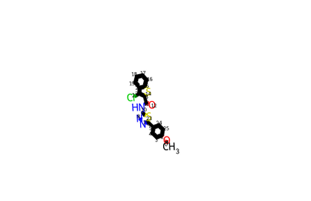 COc1ccc(-c2nnc(NC(=O)c3sc4ccccc4c3Cl)s2)cc1